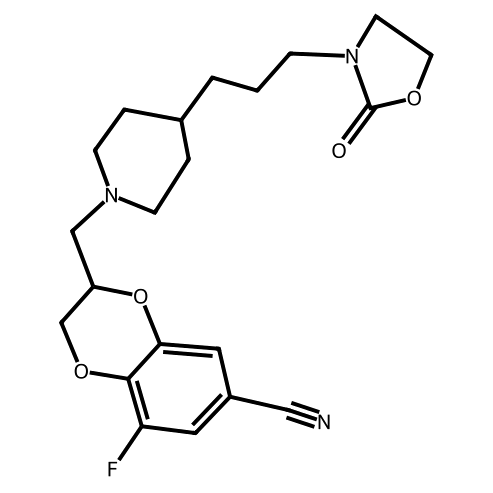 N#Cc1cc(F)c2c(c1)OC(CN1CCC(CCCN3CCOC3=O)CC1)CO2